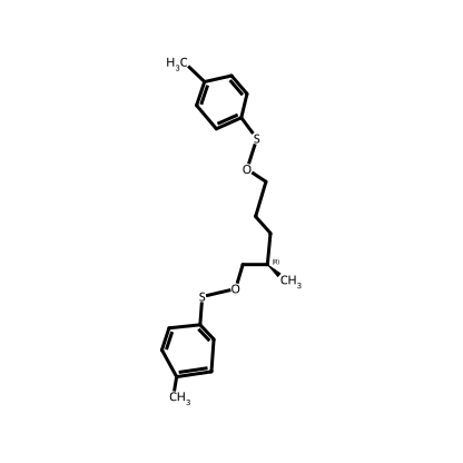 Cc1ccc(SOCCC[C@@H](C)COSc2ccc(C)cc2)cc1